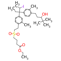 CCOC(=O)CCCS(=O)(=O)CCc1ccc(C(CC)(c2ccc(CCC(O)C(C)(C)C)c(C)c2)C(C)I)cc1C